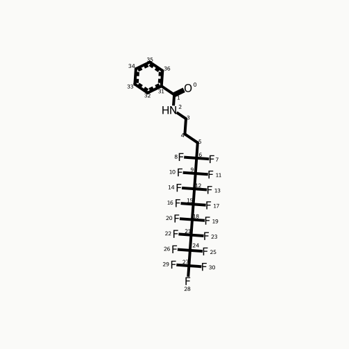 O=C(NCCCC(F)(F)C(F)(F)C(F)(F)C(F)(F)C(F)(F)C(F)(F)C(F)(F)C(F)(F)F)c1ccccc1